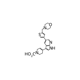 O=C(O)N1CC=C(c2c[nH]c3ncc(-c4csc(CN5CCOCC5)c4)cc23)CC1